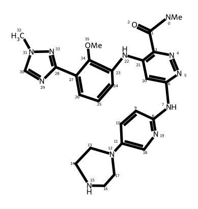 CNC(=O)c1nnc(Nc2ccc(N3CCNCC3)cn2)cc1Nc1cccc(-c2ncn(C)n2)c1OC